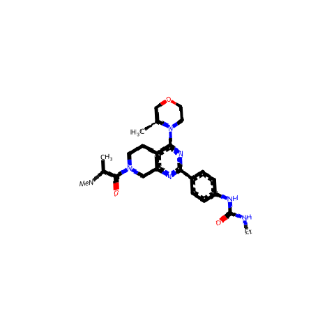 CCNC(=O)Nc1ccc(-c2nc3c(c(N4CCOC[C@@H]4C)n2)CCN(C(=O)C(C)NC)C3)cc1